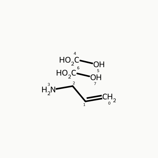 C=CCN.O=C(O)O.O=C(O)O